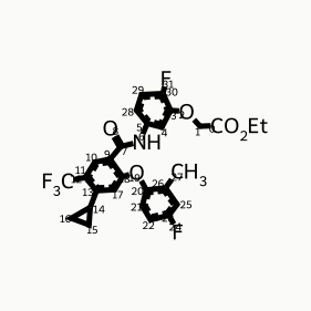 CCOC(=O)COc1cc(NC(=O)c2cc(C(F)(F)F)c(C3CC3)cc2Oc2ccc(F)cc2C)ccc1F